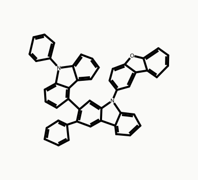 c1ccc(-c2cc3c4ccccc4n(-c4ccc5oc6ccccc6c5c4)c3cc2-c2cccc3c2c2ccccc2n3-c2ccccc2)cc1